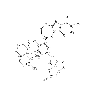 CN(C)C(=O)c1nn2c(c1Cl)CN(c1nc(OC[C@@]34CCCN3C[C@H](F)C4)nc3c1COC1(CCCc4ccc(N)c(C#N)c41)C3)CCC2